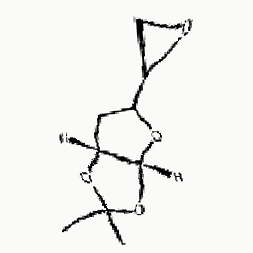 CC1(C)O[C@H]2OC([C@H]3CO3)C[C@H]2O1